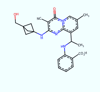 Cc1cc(C(C)Nc2ccccc2C(=O)O)c2nc(NC34CC(CO)(C3)C4)c(C#N)c(=O)n2c1